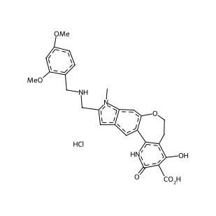 COc1ccc(CNCc2cc3cc4c(cc3n2C)OCCc2c-4[nH]c(=O)c(C(=O)O)c2O)c(OC)c1.Cl